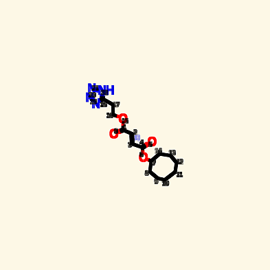 O=C(/C=C/C(=O)OC1CCCCCCC1)OCCc1nnn[nH]1